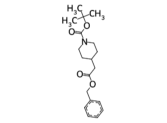 CC(C)(C)OC(=O)N1CCC(CC(=O)OCc2ccccc2)CC1